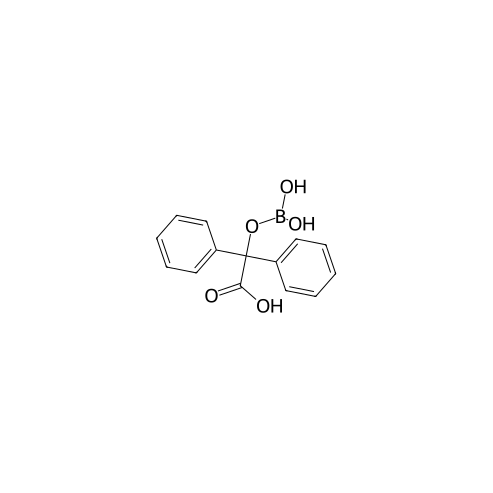 O=C(O)C(OB(O)O)(c1ccccc1)c1ccccc1